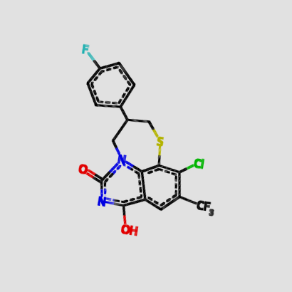 O=c1nc(O)c2cc(C(F)(F)F)c(Cl)c3c2n1CC(c1ccc(F)cc1)CS3